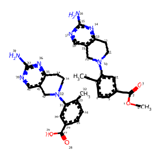 COC(=O)c1ccc(C)c(N2CCc3nc(N)ncc3C2)c1.Cc1ccc(C(=O)O)cc1N1CCc2nc(N)ncc2C1